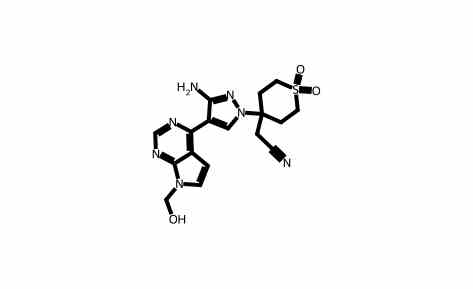 N#CCC1(n2cc(-c3ncnc4c3ccn4CO)c(N)n2)CCS(=O)(=O)CC1